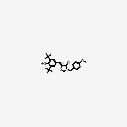 COc1ccc(CN2CS/C(=C\c3cc(C(C)(C)C)c(O)c(C(C)(C)C)c3)C2=O)cc1